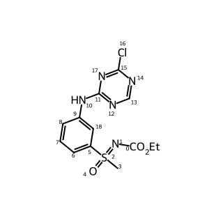 CCOC(=O)N=S(C)(=O)c1cccc(Nc2ncnc(Cl)n2)c1